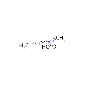 C/C=C/C(=C/C=C/CCCC)C(=O)O